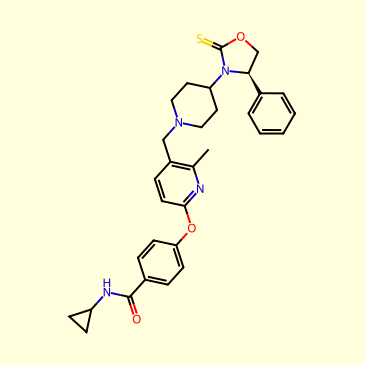 Cc1nc(Oc2ccc(C(=O)NC3CC3)cc2)ccc1CN1CCC(N2C(=S)OC[C@H]2c2ccccc2)CC1